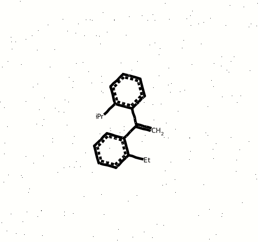 C=C(c1ccccc1CC)c1ccccc1C(C)C